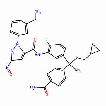 NCc1cccc(-n2nc(N=O)cc2C(=O)Nc2cc(C(N)(CCC3CC3)c3ccc(C(N)=O)cc3)ccc2F)c1